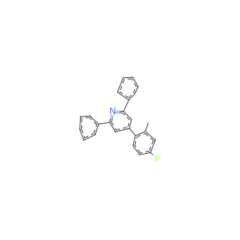 Cc1cc(F)ccc1-c1cc(-c2ccccc2)nc(-c2ccccc2)c1